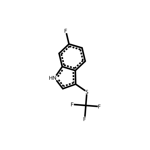 Fc1ccc2c(SC(F)(F)F)c[nH]c2c1